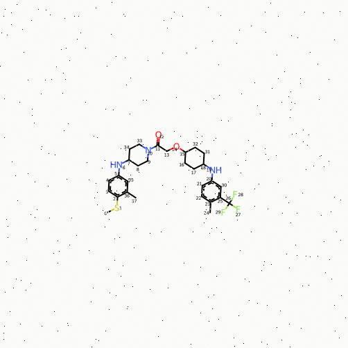 CSc1ccc(NC2CCN(C(=O)COC3CCC(Nc4ccc(C)c(C(F)(F)F)c4)CC3)CC2)cc1C